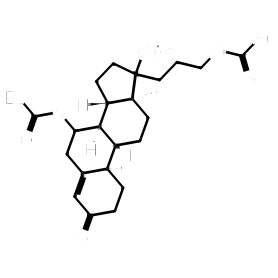 CCC(=O)OCCCC1(OC(C)=O)CC[C@H]2[C@@H]3C(SC(=O)CC)CC4=CC(=O)CC[C@]4(C)[C@@H]3CC[C@@]21C